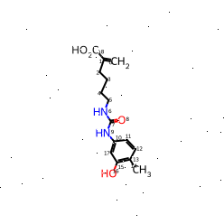 C=C(CCCCNC(=O)Nc1ccc(C)c(O)c1)C(=O)O